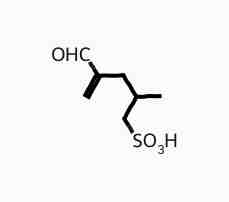 C=C(C=O)CC(C)CS(=O)(=O)O